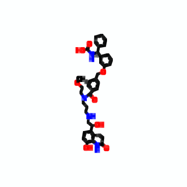 COCCN(CCCNCC(O)c1ccc(O)c2[nH]c(=O)ccc12)C(=O)c1ccc(COc2cccc([C@@H](NC(=O)O)c3ccccc3)c2)cc1